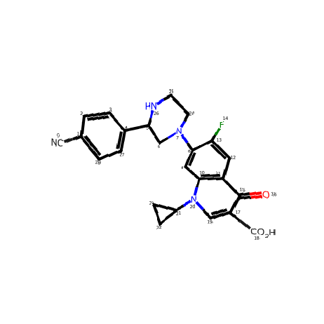 N#Cc1ccc(C2CN(c3cc4c(cc3F)c(=O)c(C(=O)O)cn4C3CC3)CCN2)cc1